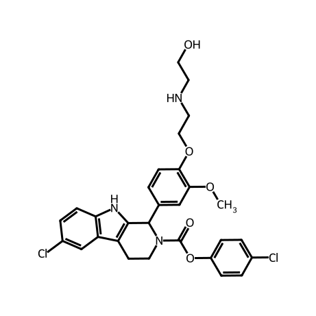 COc1cc(C2c3[nH]c4ccc(Cl)cc4c3CCN2C(=O)Oc2ccc(Cl)cc2)ccc1OCCNCCO